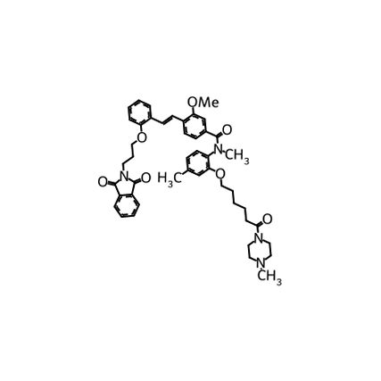 COc1cc(C(=O)N(C)c2ccc(C)cc2OCCCCCC(=O)N2CCN(C)CC2)ccc1C=Cc1ccccc1OCCCN1C(=O)c2ccccc2C1=O